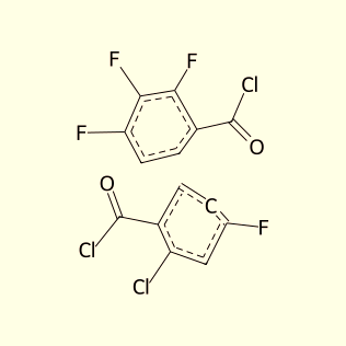 O=C(Cl)c1ccc(F)c(F)c1F.O=C(Cl)c1ccc(F)cc1Cl